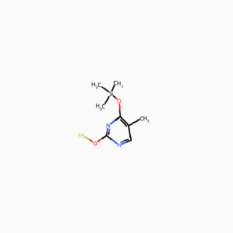 Cc1cnc(OS)nc1O[Si](C)(C)C